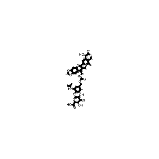 CC(C)Nc1cc(COC(=O)NCc2c3c(nc4cc5c(cc24)OCO5)-c2cc4c(c(=O)n2C3)COC(=O)[C@H]4O)ccc1O[C@@H]1OC(C(=O)O)[C@@H](O)C(O)C1O